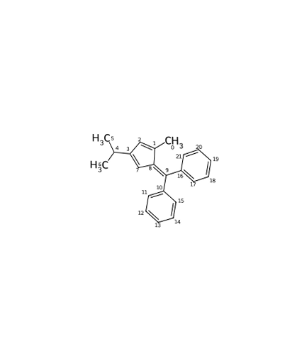 CC1=CC(C(C)C)=CC1=C(c1ccccc1)c1ccccc1